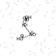 CN1/C(=C/C=C/C=C/C2=[N+](CCCCCC(=O)O)c3ccccc3C2(C)C)C(C)(C)c2cc(S(=O)(=O)O)ccc21